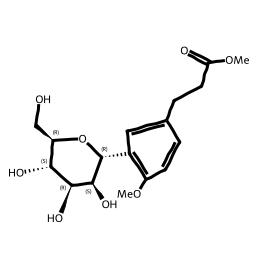 COC(=O)CCc1ccc(OC)c([C@H]2O[C@H](CO)[C@@H](O)[C@H](O)[C@@H]2O)c1